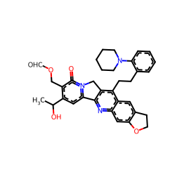 CC(O)c1cc2n(c(=O)c1COC=O)Cc1c-2nc2cc3c(cc2c1CCc1ccccc1N1CCCCC1)CCO3